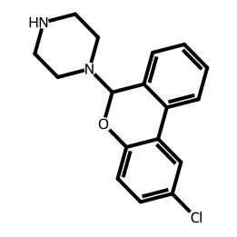 Clc1ccc2c(c1)-c1ccccc1C(N1CCNCC1)O2